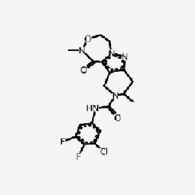 CC1Cc2nn3c(c2CN1C(=O)Nc1cc(F)c(F)c(Cl)c1)C(=O)N(C)OCC3